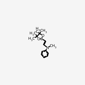 CN(C=CB1OC(C)(C)C(C)(C)O1)c1ccccc1